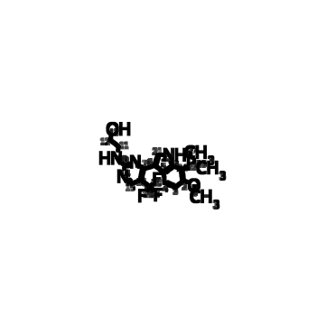 COc1ccc2c(-c3nc(NCCO)ncc3C(F)(F)F)c[nH]c2c1P(C)C